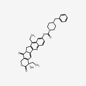 CCc1c2c(nc3ccc(OC(=O)N4CCN(Cc5ccccc5)CC4)cc13)-c1cc3c(c(=O)n1C2)COC(=O)[C@]3(O)CC